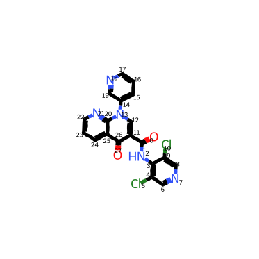 O=C(Nc1c(Cl)cncc1Cl)c1cn(-c2cccnc2)c2ncccc2c1=O